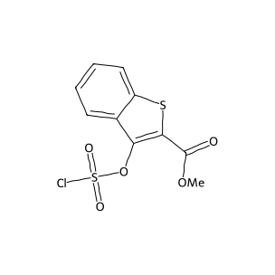 COC(=O)c1sc2ccccc2c1OS(=O)(=O)Cl